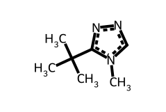 Cn1cnnc1C(C)(C)C